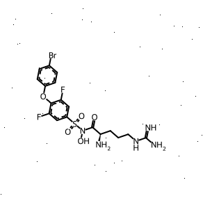 N=C(N)NCCC[C@@H](N)C(=O)N(O)S(=O)(=O)c1cc(F)c(Oc2ccc(Br)cc2)c(F)c1